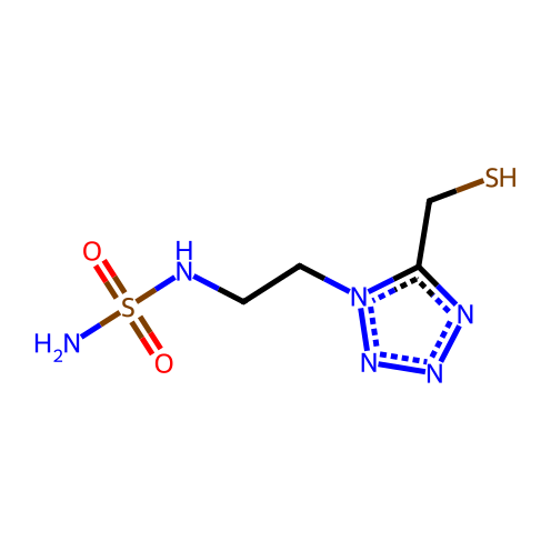 NS(=O)(=O)NCCn1nnnc1CS